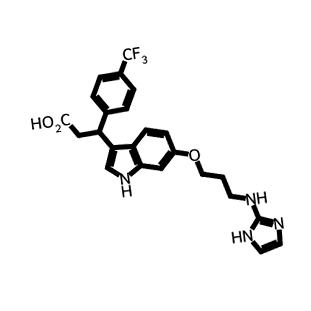 O=C(O)CC(c1ccc(C(F)(F)F)cc1)c1c[nH]c2cc(OCCCNc3ncc[nH]3)ccc12